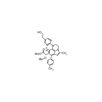 COC(=O)[C@@H](OC(C)(C)C)c1c(C)c2c3c(cc(C)n3CCN2c2ncc(CCO)cn2)c1-c1ccc(C)cc1